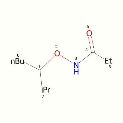 CCCCC(ONC(=O)CC)C(C)C